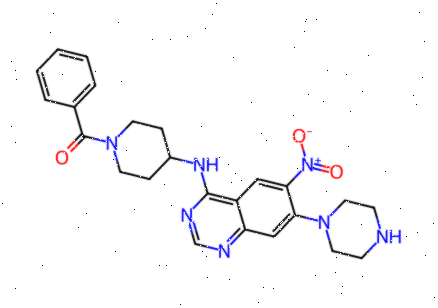 O=C(c1ccccc1)N1CCC(Nc2ncnc3cc(N4CCNCC4)c([N+](=O)[O-])cc23)CC1